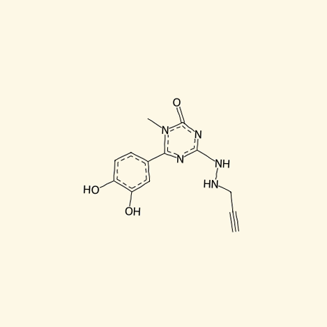 C#CCNNc1nc(-c2ccc(O)c(O)c2)n(C)c(=O)n1